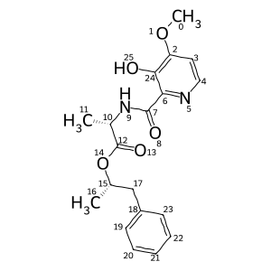 COc1ccnc(C(=O)N[C@@H](C)C(=O)O[C@@H](C)Cc2ccccc2)c1O